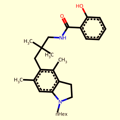 CCCCCCN1CCc2c1cc(C)c(CC(C)(C)CNC(=O)c1ccccc1O)c2C